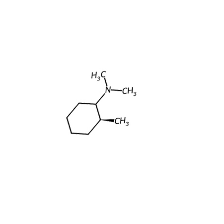 C[C@H]1CCCCC1N(C)C